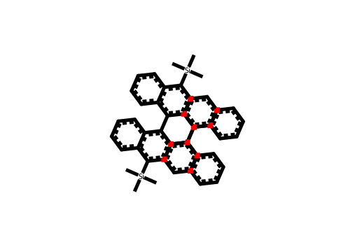 C[Si](C)(C)c1cc(P(c2ccccc2)c2ccccc2)c(-c2c(P(c3ccccc3)c3ccccc3)cc([Si](C)(C)C)c3ccccc23)c2ccccc12